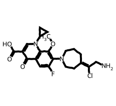 COc1c(N2CCC/C(=C(/Cl)CN)CC2)c(F)cc2c(=O)c(C(=O)O)cn(C3CC3)c12